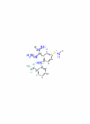 CNSc1ccc(Nc2ccccc2C(F)(F)F)c(/C(=N/N)N(C)N)c1